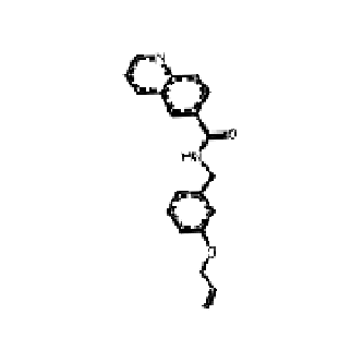 C=CCOc1cccc(CNC(=O)c2ccc3ncccc3c2)c1